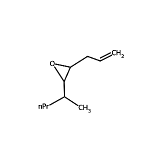 C=CCC1OC1C(C)CCC